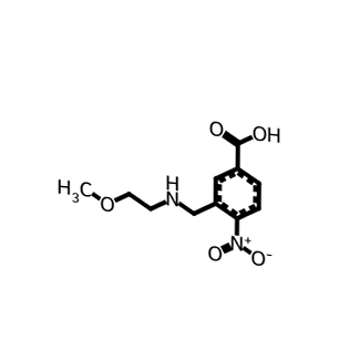 COCCNCc1cc(C(=O)O)ccc1[N+](=O)[O-]